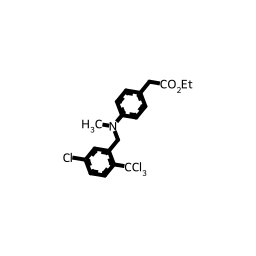 CCOC(=O)Cc1ccc(N(C)Cc2cc(Cl)ccc2C(Cl)(Cl)Cl)cc1